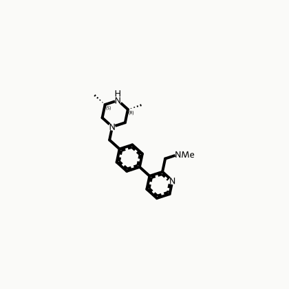 CNCc1ncccc1-c1ccc(CN2C[C@@H](C)N[C@@H](C)C2)cc1